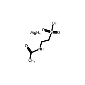 CC(=O)NCCS(=O)(=O)O.[MgH2]